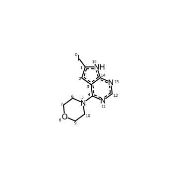 Ic1cc2c(N3CCOCC3)ncnc2[nH]1